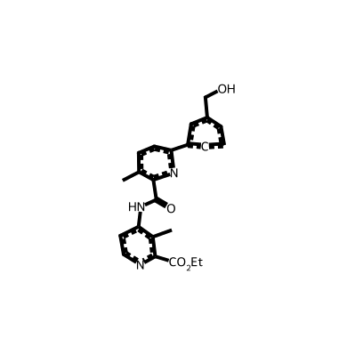 CCOC(=O)c1nccc(NC(=O)c2nc(-c3cccc(CO)c3)ccc2C)c1C